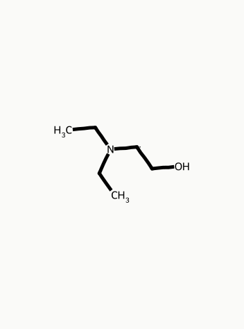 CCN([CH]CO)CC